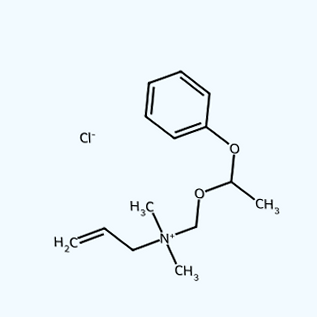 C=CC[N+](C)(C)COC(C)Oc1ccccc1.[Cl-]